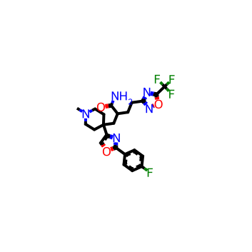 CN1CCC(CC(CCc2noc(C(F)(F)F)n2)C(N)=O)(c2coc(-c3ccc(F)cc3)n2)CC1